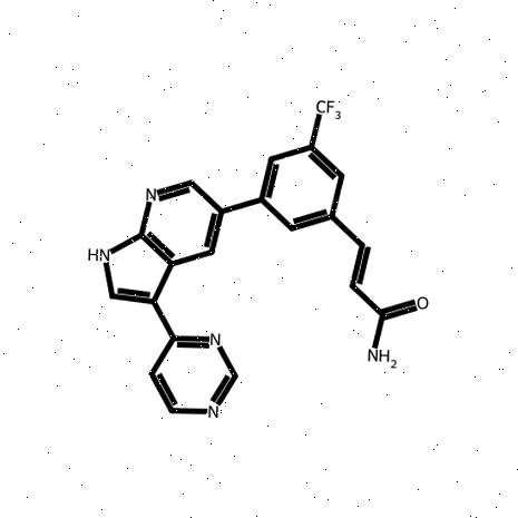 NC(=O)C=Cc1cc(-c2cnc3[nH]cc(-c4ccncn4)c3c2)cc(C(F)(F)F)c1